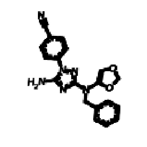 N#Cc1ccc(-n2nc(N(Cc3ccccc3)C3=COCO3)nc2N)cc1